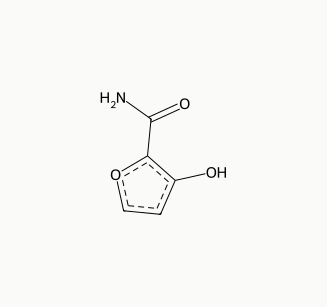 NC(=O)c1occc1O